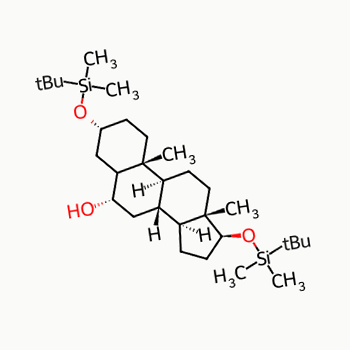 CC(C)(C)[Si](C)(C)O[C@@H]1CC[C@@]2(C)C(C1)[C@@H](O)C[C@H]1[C@@H]3CC[C@H](O[Si](C)(C)C(C)(C)C)[C@@]3(C)CC[C@@H]12